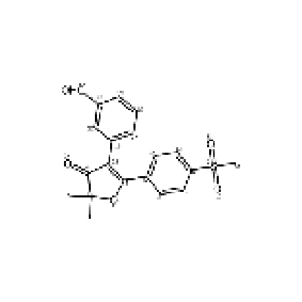 CC1(C)OC(c2ccc(S(C)(=O)=O)cc2)=C(c2cccc(C=O)c2)C1=O